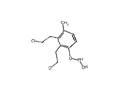 Cc1ccc(OPO)c(CCCl)c1CCCl